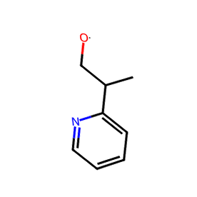 CC(C[O])c1ccccn1